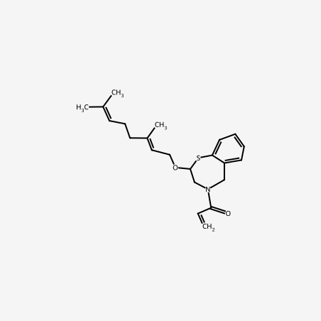 C=CC(=O)N1Cc2ccccc2SC(OC/C=C(\C)CCC=C(C)C)C1